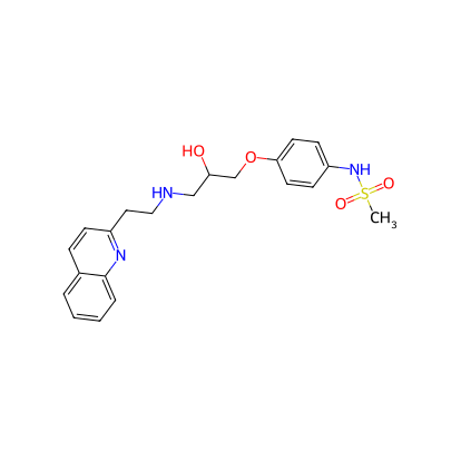 CS(=O)(=O)Nc1ccc(OCC(O)CNCCc2ccc3ccccc3n2)cc1